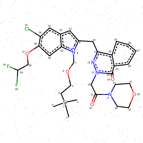 C[Si](C)(C)CCOCn1c(Cc2nn(CC(=O)N3CCOCC3)c(=O)c3ccccc23)cc2cc(Cl)c(OCC(F)F)cc21